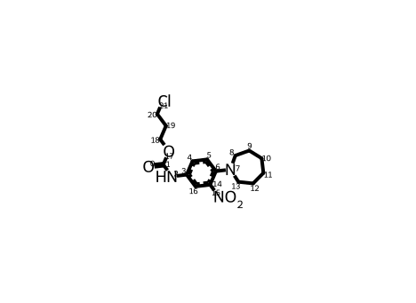 O=C(Nc1ccc(N2CCCCCC2)c([N+](=O)[O-])c1)OCCCCl